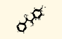 O=C(c1ccccc1)C(F)c1ccc(F)cc1